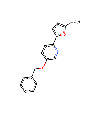 O=C(O)c1ccc(-c2ccc(OCc3ccccc3)cn2)o1